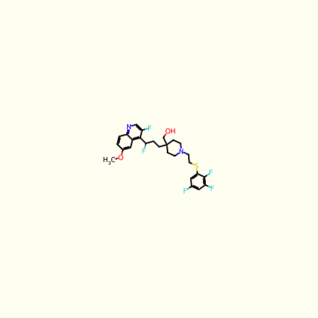 COc1ccc2ncc(F)c([C@H](F)CCC3(CO)CCN(CCSc4cc(F)cc(F)c4F)CC3)c2c1